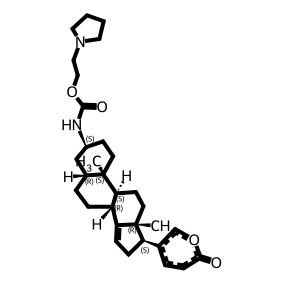 C[C@]12CC[C@H](NC(=O)OCCN3CCCC3)C[C@H]1CC[C@H]1C3=CC[C@H](c4ccc(=O)oc4)[C@@]3(C)CC[C@@H]12